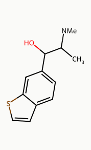 CNC(C)C(O)c1ccc2ccsc2c1